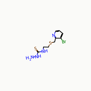 NNC(=S)NCCSCc1ncccc1Br